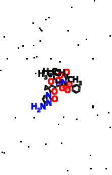 CCOC(=O)[C@H](C)NP(=O)(OC[C@H]1O[C@@H](n2ccc(N)nc2=O)C2(CC2)[C@@H]1OC(=O)C(C)C)Oc1ccccc1